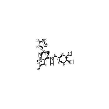 Cc1cc2c(NCc3ccc(Cl)c(Cl)c3)nc(-c3ccno3)nc2s1